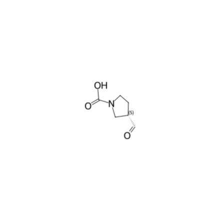 O=C[C@H]1CCN(C(=O)O)C1